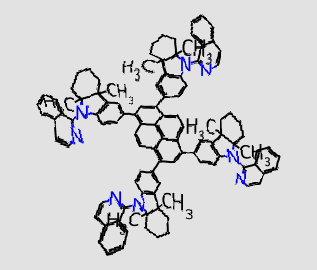 CC12CCCCC1(C)N(c1nccc3ccccc13)c1ccc(-c3cc(-c4ccc5c(c4)C4(C)CCCCC4(C)N5c4nccc5ccccc45)c4ccc5c(-c6ccc7c(c6)C6(C)CCCCC6(C)N7c6nccc7ccccc67)cc(-c6ccc7c(c6)C6(C)CCCCC6(C)N7c6nccc7ccccc67)c6ccc3c4c65)cc12